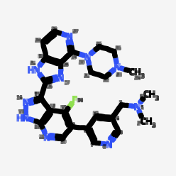 CN(C)Cc1cncc(-c2cnc3[nH]nc(-c4nc5c(N6CCN(C)CC6)nccc5[nH]4)c3c2F)c1